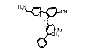 C=C(/C=C(/Oc1cc(C#N)ccc1-c1ccc(CN)cn1)SCCCC)c1ccccc1